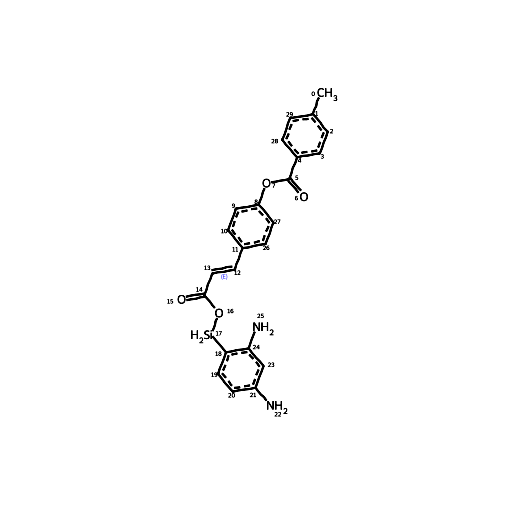 Cc1ccc(C(=O)Oc2ccc(/C=C/C(=O)O[SiH2]c3ccc(N)cc3N)cc2)cc1